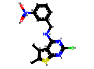 Cc1sc2nc(Cl)nc(NCc3cccc([N+](=O)[O-])c3)c2c1C